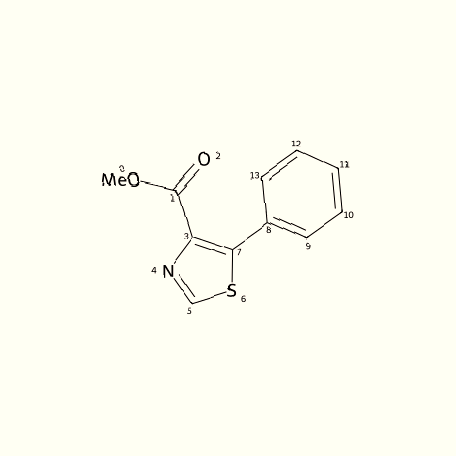 COC(=O)c1ncsc1-c1ccccc1